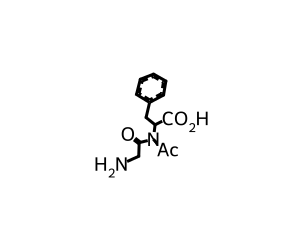 CC(=O)N(C(=O)CN)C(Cc1ccccc1)C(=O)O